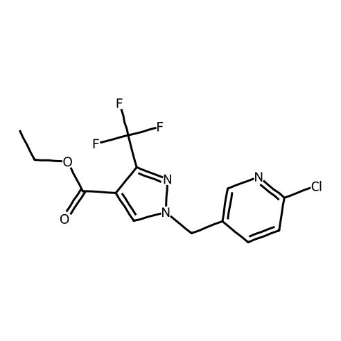 CCOC(=O)c1cn(Cc2ccc(Cl)nc2)nc1C(F)(F)F